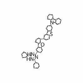 c1ccc(C2N=C(c3ccc4oc5c(-c6ccc7sc8cc(-n9c%10ccccc%10c%10ccccc%109)ccc8c7c6)cccc5c4c3)NC(c3ccccc3)N2)cc1